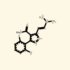 COC(=O)c1c(-c2c(F)cccc2Cl)noc1C=C[As](C)C